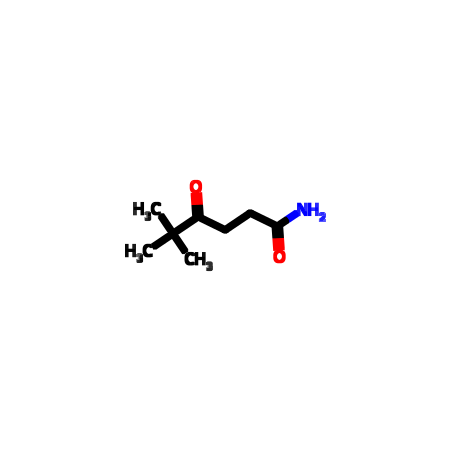 CC(C)(C)C(=O)CCC(N)=O